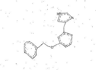 c1ccc(COc2cccc(-c3c[nH]cn3)c2)cc1